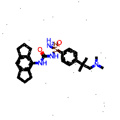 CN(C)CC(C)(C)c1ccc([SH](N)(=O)NC(=O)Nc2c3c(cc4c2CCC4)CCC3)cc1